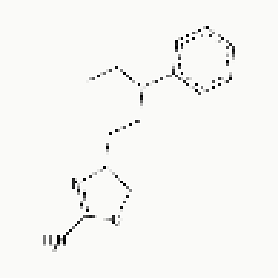 CCC(CCC1COC(N)=N1)c1ccccc1